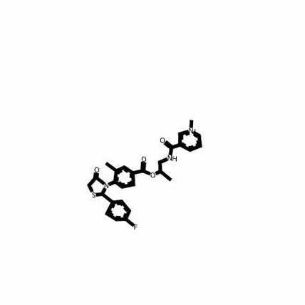 Cc1cc(C(=O)OC(C)CNC(=O)c2ccc[n+](C)c2)ccc1N1C(=O)CSC1c1ccc(F)cc1